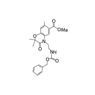 COC(=O)c1cc2c(cc1C)OC(C)(C)C(=O)N2CCNC(=O)OCc1ccccc1